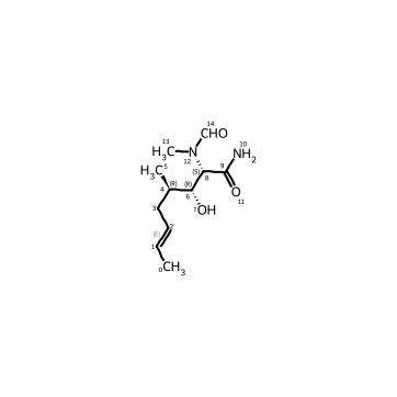 C/C=C/C[C@@H](C)[C@@H](O)[C@@H](C(N)=O)N(C)C=O